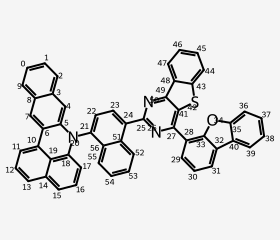 c1ccc2cc3c(cc2c1)-c1cccc2cccc(c12)N3c1ccc(-c2nc(-c3cccc4c3oc3ccccc34)c3sc4ccccc4c3n2)c2ccccc12